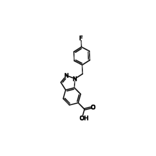 O=C(O)c1ccc2cnn(Cc3ccc(F)cc3)c2c1